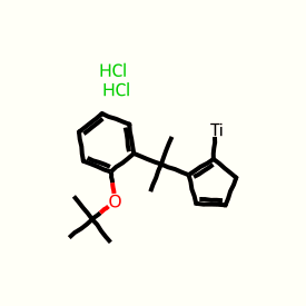 CC(C)(C)Oc1ccccc1C(C)(C)C1=[C]([Ti])CC=C1.Cl.Cl